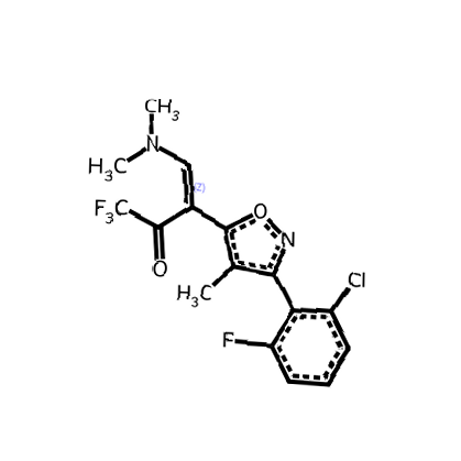 Cc1c(-c2c(F)cccc2Cl)noc1/C(=C/N(C)C)C(=O)C(F)(F)F